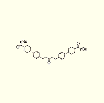 CCCCC(=O)C1CCC(c2ccc(CCC(=O)CCc3ccc([C@H]4CC[C@H](C(=O)CCCC)CC4)cc3)cc2)CC1